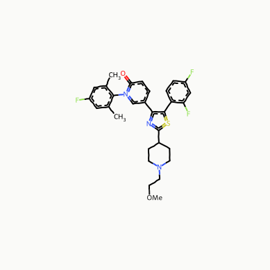 COCCN1CCC(c2nc(-c3ccc(=O)n(-c4c(C)cc(F)cc4C)c3)c(-c3ccc(F)cc3F)s2)CC1